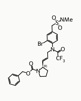 CNS(=O)(=O)Cc1ccc(N(CC=C[C@H]2CCCN2C(=O)OCc2ccccc2)C(=O)C(F)(F)F)c(Br)c1